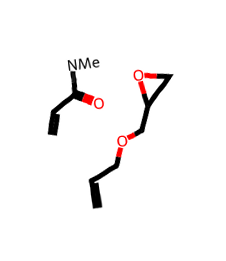 C=CC(=O)NC.C=CCOCC1CO1